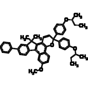 CCC(C)Oc1ccc(C2(c3ccc(OC(C)CC)cc3)C=Cc3c4c(c5cc(OC)ccc5c3O2)-c2ccc(-c3ccccc3)cc2C4(C)C)cc1